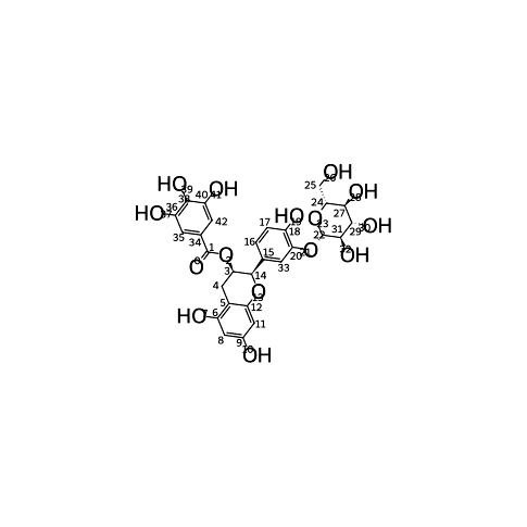 O=C(O[C@@H]1Cc2c(O)cc(O)cc2O[C@@H]1c1ccc(O)c(O[C@@H]2O[C@H](CO)[C@@H](O)[C@H](O)[C@H]2O)c1)c1cc(O)c(O)c(O)c1